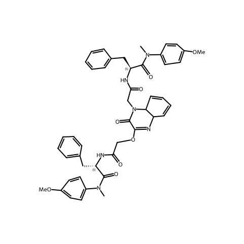 COc1ccc(N(C)C(=O)[C@H](Cc2ccccc2)NC(=O)COC2=NC3C=CC=CC3N(CC(=O)N[C@@H](Cc3ccccc3)C(=O)N(C)c3ccc(OC)cc3)C2=O)cc1